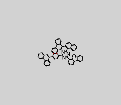 c1ccc2c(-c3nc(-c4ccc(-c5cc6ccccc6c6ccccc56)cc4)nc(-c4cccc5c4oc4ccccc45)n3)c(-c3cc4ccccc4c4ccccc34)ccc2c1